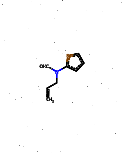 C=CCN([C]=O)c1cccs1